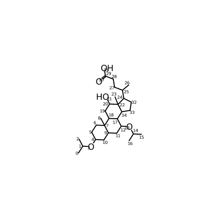 CC(C)OC1CCC2(C)C(C1)CC(OC(C)C)C1C2CC(O)C2(C)C(C(C)CCC(=O)O)CCC12